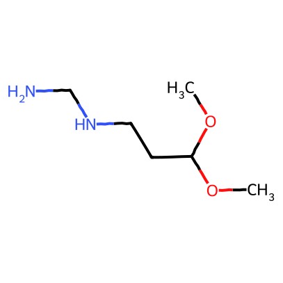 COC(CCNCN)OC